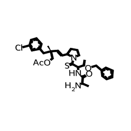 CC(=O)OC[C@@](C)(/C=C/C1CCCN1C(=S)C(NC(=O)C(C)N)C(C)OCc1ccccc1)Cc1cccc(Cl)c1